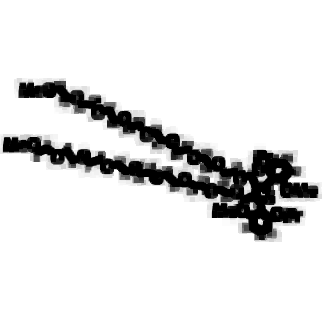 COCCOCCOCCOCCOCCOCCOCCOCCOCc1c(-c2c(OC)cccc2OC(C)C)sc(-c2c(OC)cccc2OC(C)C)c1COCCOCCOCCOCCOCCOCCOCCOCCOC